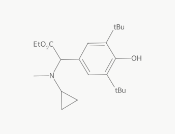 CCOC(=O)C(c1cc(C(C)(C)C)c(O)c(C(C)(C)C)c1)N(C)C1CC1